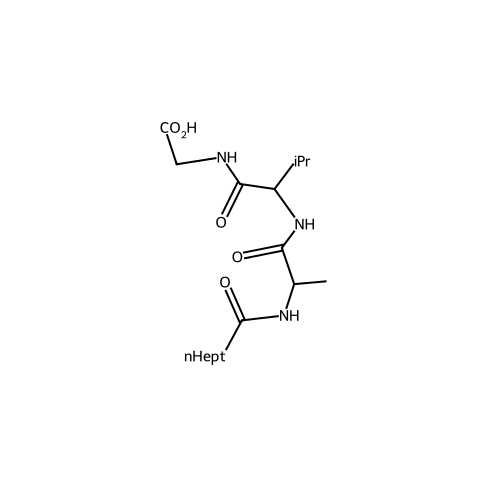 CCCCCCCC(=O)NC(C)C(=O)NC(C(=O)NCC(=O)O)C(C)C